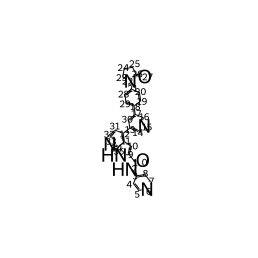 O=C(Nc1ccncc1)c1cc2c(-c3cncc(-c4ccc(N5CCCC5=O)cc4)c3)ccnc2[nH]1